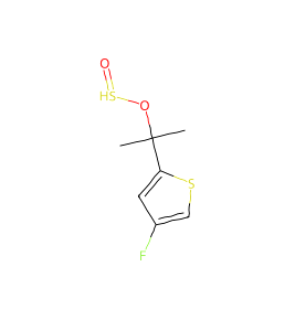 CC(C)(O[SH]=O)c1cc(F)cs1